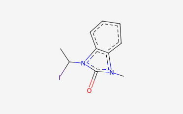 CC(I)n1c(=O)n(C)c2ccccc21